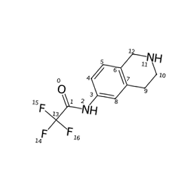 O=C(Nc1ccc2c(c1)CCNC2)C(F)(F)F